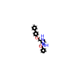 O=C(NN1CCNC(CCOc2ccc(-c3ccccc3)cc2)C1)c1ccccc1